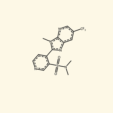 CN(C)S(=O)(=O)c1cnccc1-c1nc2cc(C(F)(F)F)cnc2n1C